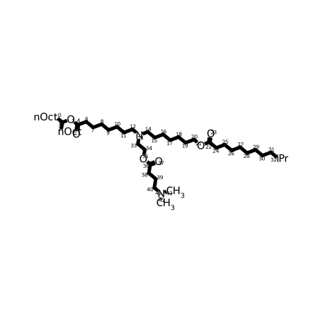 CCCCCCCCC(CCCCCCCC)OC(=O)CCCCCCCN(CCCCCCCOC(=O)CCCCCCCCC(C)C)CCOC(=O)CCCN(C)C